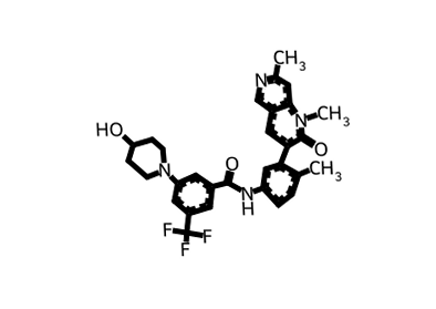 Cc1cc2c(cn1)cc(-c1cc(NC(=O)c3cc(N4CCC(O)CC4)cc(C(F)(F)F)c3)ccc1C)c(=O)n2C